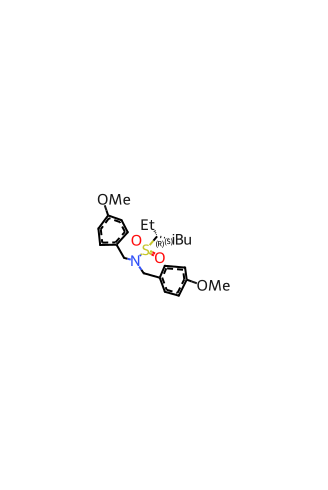 CC[C@H]([C@@H](C)CC)S(=O)(=O)N(Cc1ccc(OC)cc1)Cc1ccc(OC)cc1